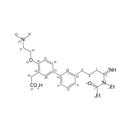 CCC(=O)N(CC)C(=N)CCCc1cccc(-c2ccc(OCCN(C)C)c(CC(=O)O)c2)c1